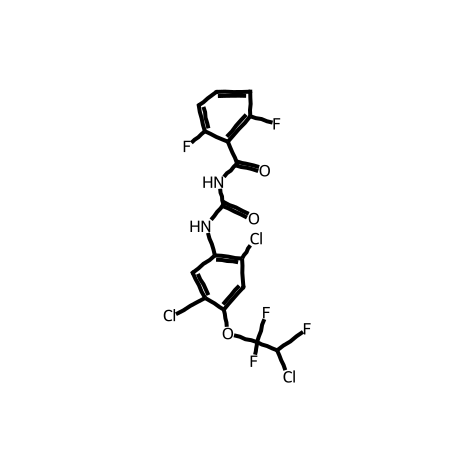 O=C(NC(=O)c1c(F)cccc1F)Nc1cc(Cl)c(OC(F)(F)C(F)Cl)cc1Cl